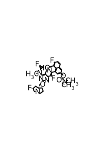 C#Cc1c(F)ccc2cc(OC(=O)N(C)C)cc(-c3ncc4c(N(C)[C@H]5C[C@@H]5F)nc(OC[C@@]56CCCN5C[C@H](F)C6)nc4c3F)c12